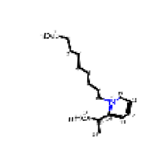 CCCCCCCCCCCCCCCCCC[n+]1ccccc1C(C)CCCCCC